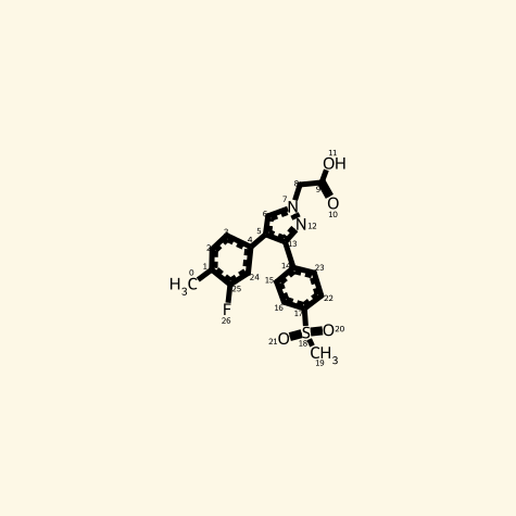 Cc1ccc(-c2cn(CC(=O)O)nc2-c2ccc(S(C)(=O)=O)cc2)cc1F